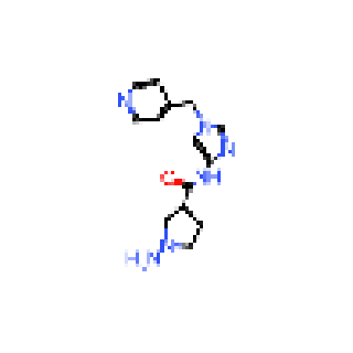 NN1CC[C@H](C(=O)Nc2cn(Cc3ccncc3)cn2)C1